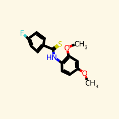 COc1ccc(NC(=S)c2ccc(F)cc2)c(OC)c1